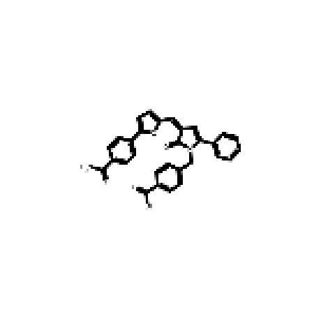 NC(=O)c1ccc(-c2ccc(C=C3C=C(c4ccccc4)N(Cc4ccc(C(=O)O)cc4)C3=O)o2)cc1